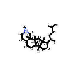 CC(C)CCC(C)C1CCC2(C)C1(C)CC1(C)C3(C)CN(C)CCC3=CCC12C